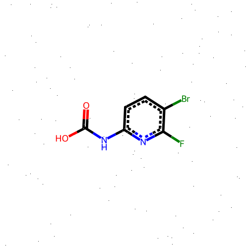 O=C(O)Nc1ccc(Br)c(F)n1